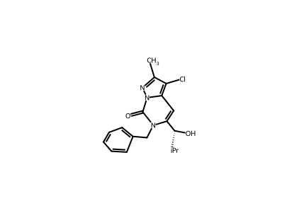 Cc1nn2c(=O)n(Cc3ccccc3)c([C@H](O)C(C)C)cc2c1Cl